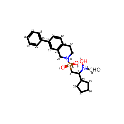 O=CN(O)C(CS(=O)(=O)N1CCc2ccc(-c3ccccc3)cc2C1)C1CCCC1